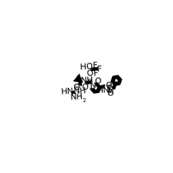 N=C(N)NOCC1(NC(=O)Cn2cccc(CNS(=O)(=O)Cc3ccccc3)c2=O)CC1.O=C(O)C(F)(F)F